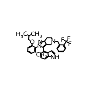 Cc1cccc(OCC(C)C)c1-n1nc2c(c1-c1cccc3[nH]ccc13)CN(Cc1ccccc1C(F)(F)F)CC2